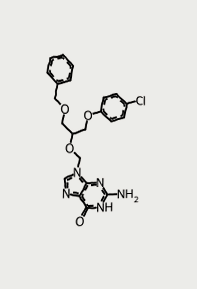 Nc1nc2c(ncn2COC(COCc2ccccc2)COc2ccc(Cl)cc2)c(=O)[nH]1